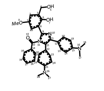 COc1cc(CO)c(O)c(-c2nc(-c3ccc(N(C)C)cc3)c(-c3ccc(N(C)C)cc3)n2C(=O)c2ccccc2)c1